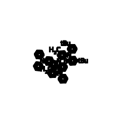 Cc1cc2c3c(c1)N1c4c(ccc(N(c5ccccc5)c5ccccc5)c4C4C1c1ccc(N(c5ccccc5)c5ccccc5)cc1C4(C)C)B3c1ccc(C(C)(C)C)cc1N2c1cccc(C(C)(C)C)c1